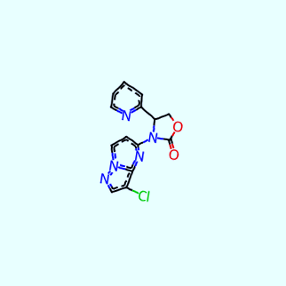 O=C1OCC(c2ccccn2)N1c1ccn2ncc(Cl)c2n1